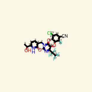 CC(O)c1ccc(Cn2cnc(C(F)(F)C(F)F)c(Oc3cc(Cl)cc(C#N)c3F)c2=O)c(=O)[nH]1